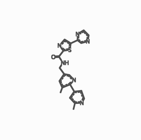 Cc1cc(-c2ncc(CNC(=O)c3ncc(-c4cnccn4)s3)cc2C)ccn1